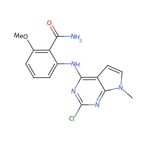 COc1cccc(Nc2nc(Cl)nc3c2ccn3C)c1C(N)=O